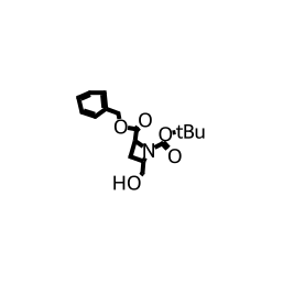 CC(C)(C)OC(=O)N1C(CO)CC1C(=O)OCc1ccccc1